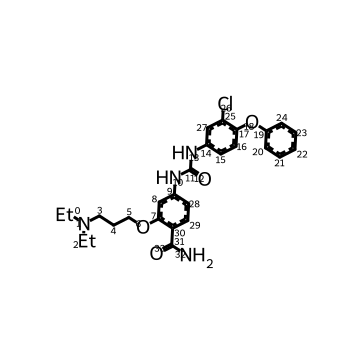 CCN(CC)CCCOc1cc(NC(=O)Nc2ccc(Oc3ccccc3)c(Cl)c2)ccc1C(N)=O